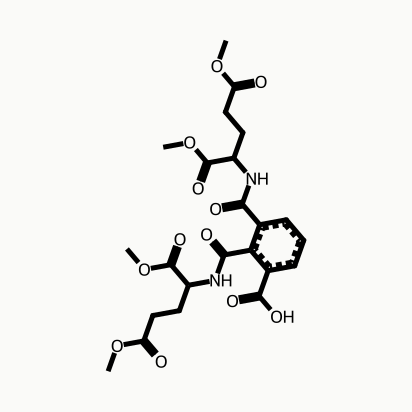 COC(=O)CCC(NC(=O)c1cccc(C(=O)O)c1C(=O)NC(CCC(=O)OC)C(=O)OC)C(=O)OC